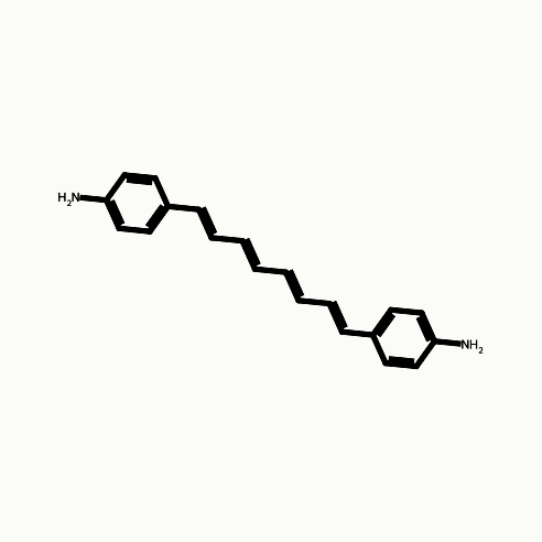 Nc1ccc(C=CC=CC=CC=Cc2ccc(N)cc2)cc1